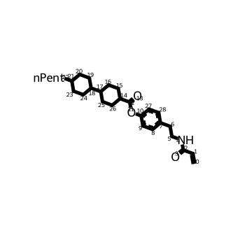 C=CC(=O)NCCc1ccc(OC(=O)C2CCC(C3CCC(CCCCC)CC3)CC2)cc1